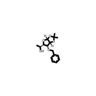 CC(O)[C@H]1O[C@@H]2OC(C)(C)O[C@@H]2[C@H]1OCc1ccccc1